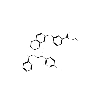 CCOC(=O)c1cccc(Oc2ccc3c(c2)C[C@@H](N(Cc2ccccc2)C[C@H](O)c2ccc(C)nc2)CC3)c1